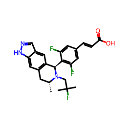 C[C@@H]1Cc2cc3[nH]ncc3cc2[C@@H](c2c(F)cc(/C=C/C(=O)O)cc2F)N1CC(C)(C)F